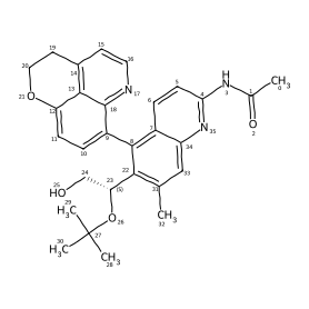 CC(=O)Nc1ccc2c(-c3ccc4c5c(ccnc35)CCO4)c([C@@H](CO)OC(C)(C)C)c(C)cc2n1